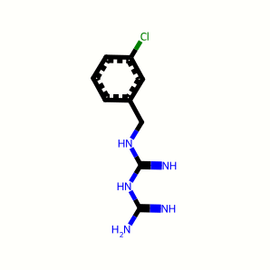 N=C(N)NC(=N)NCc1cccc(Cl)c1